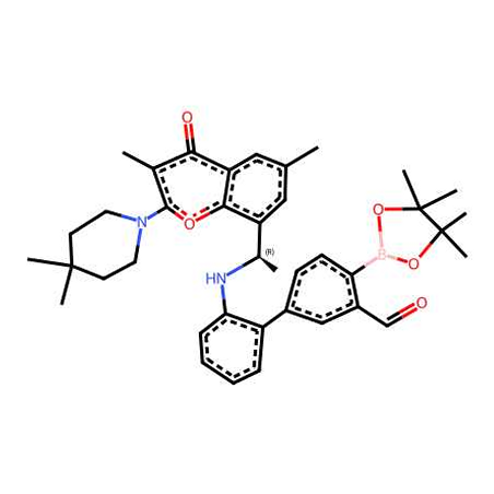 Cc1cc([C@@H](C)Nc2ccccc2-c2ccc(B3OC(C)(C)C(C)(C)O3)c(C=O)c2)c2oc(N3CCC(C)(C)CC3)c(C)c(=O)c2c1